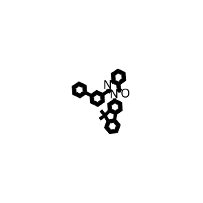 CC1(C)c2ccccc2-c2ccc(-n3c(-c4cccc(-c5ccccc5)c4)nc4ccccc4c3=O)cc21